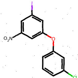 O=[N+]([O-])c1cc(I)cc(Oc2cccc(Cl)c2)c1